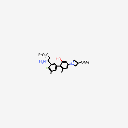 CCOC(=O)C[C@H](N)c1cc(-c2c(C)cc(N3CC(OC)C3)cc2O)cc(C)c1F